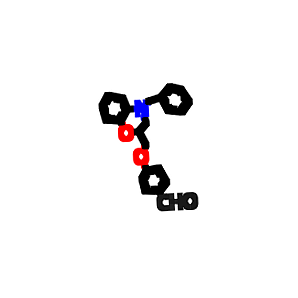 O=Cc1ccc(OCC2CN(Cc3ccccc3)c3ccccc3O2)cc1